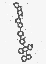 c1ccc2c(-c3c4ccccc4c(-c4ccc5c(c4)oc4cc(-c6ccc7c(ccc8c9cc%10c(cc9sc78)sc7ccccc7%10)c6)ccc45)c4ccccc34)cccc2c1